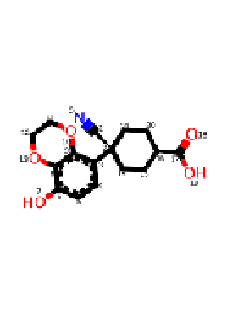 N#C[C@]1(c2ccc(O)c3c2OCCO3)CC[C@H](C(=O)O)CC1